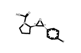 O=C(O)N1CCCC1[C@H]1O[C@@H]1c1ccc(F)cc1